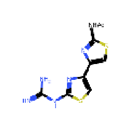 CC(=O)Nc1nc(-c2csc(NC(=N)N)n2)cs1